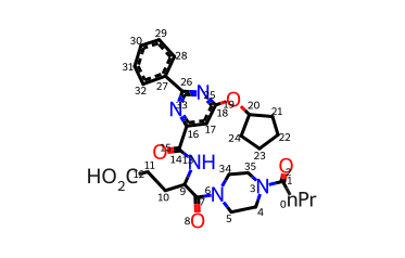 CCCC(=O)N1CCN(C(=O)C(CCC(=O)O)NC(=O)c2cc(OC3CCCC3)nc(-c3ccccc3)n2)CC1